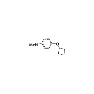 CNc1ccc(OC2CCC2)cc1